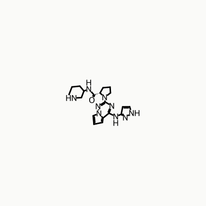 O=C(NC1CCCNC1)[C@@H]1CCCN1c1nc(Nc2cc[nH]n2)c2cccn2n1